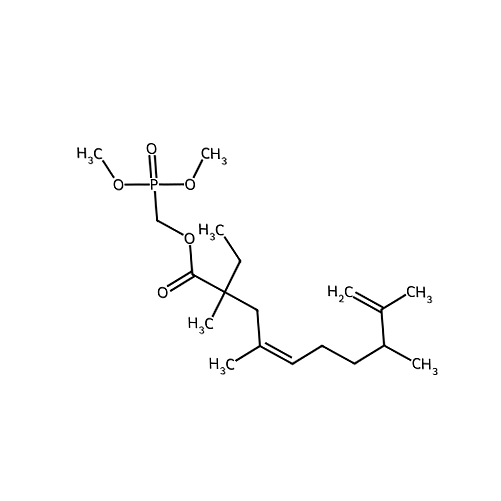 C=C(C)C(C)CC/C=C(/C)CC(C)(CC)C(=O)OCP(=O)(OC)OC